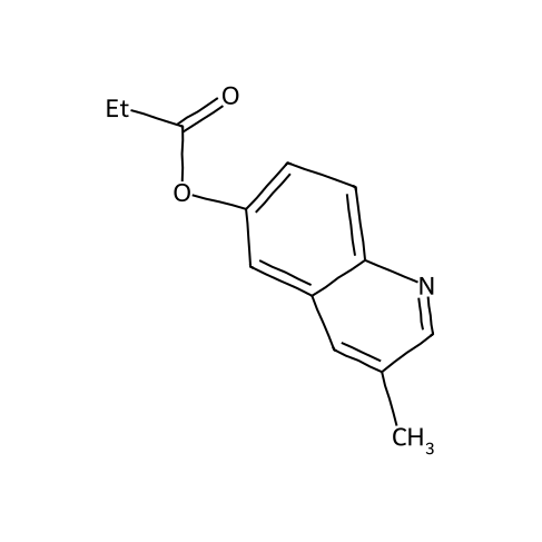 CCC(=O)Oc1ccc2ncc(C)cc2c1